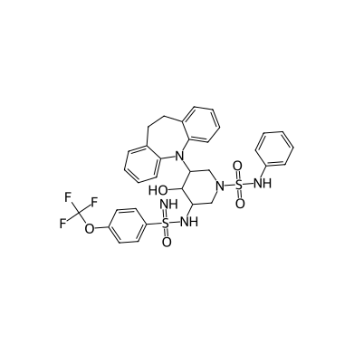 N=S(=O)(NC1CN(S(=O)(=O)Nc2ccccc2)CC(N2c3ccccc3CCc3ccccc32)C1O)c1ccc(OC(F)(F)F)cc1